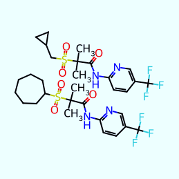 CC(C)(C(=O)Nc1ccc(C(F)(F)F)cn1)S(=O)(=O)C1CCCCCC1.CC(C)(C(=O)Nc1ccc(C(F)(F)F)cn1)S(=O)(=O)CC1CC1